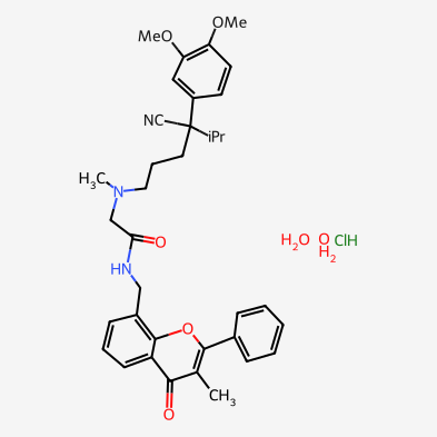 COc1ccc(C(C#N)(CCCN(C)CC(=O)NCc2cccc3c(=O)c(C)c(-c4ccccc4)oc23)C(C)C)cc1OC.Cl.O.O